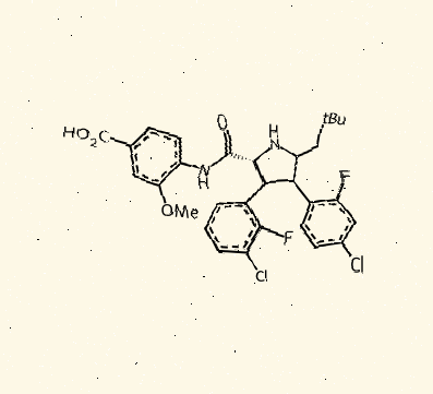 COc1cc(C(=O)O)ccc1NC(=O)[C@@H]1NC(CC(C)(C)C)C(c2ccc(Cl)cc2F)C1c1cccc(Cl)c1F